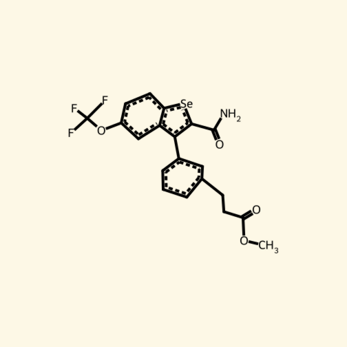 COC(=O)CCc1cccc(-c2c(C(N)=O)[se]c3ccc(OC(F)(F)F)cc23)c1